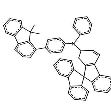 CC1(C)c2ccccc2-c2cccc(-c3ccc(N(c4ccccc4)C4C=CC5=C(C4)C4(c6ccccc65)c5ccccc5-c5ccccc54)cc3)c21